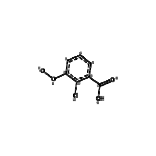 [O]Oc1cccc(C(=O)O)c1Cl